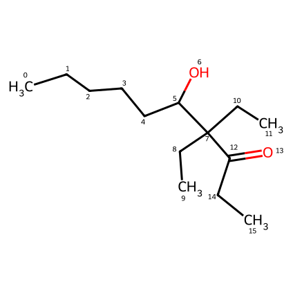 CCCCCC(O)C(CC)(CC)C(=O)CC